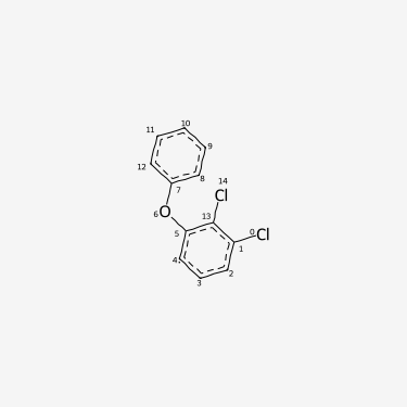 Clc1cc[c]c(Oc2ccccc2)c1Cl